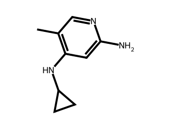 Cc1cnc(N)cc1NC1CC1